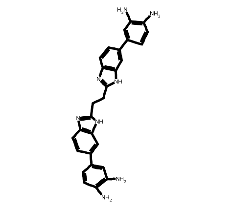 Nc1ccc(-c2ccc3nc(CCc4nc5ccc(-c6ccc(N)c(N)c6)cc5[nH]4)[nH]c3c2)cc1N